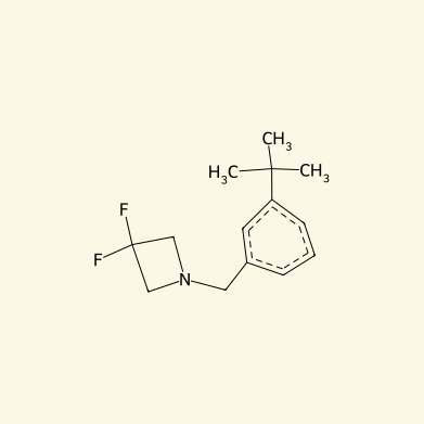 CC(C)(C)c1cccc(CN2CC(F)(F)C2)c1